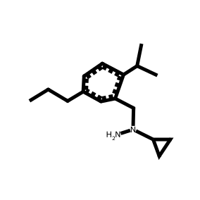 CCCc1ccc(C(C)C)c(CN(N)C2CC2)c1